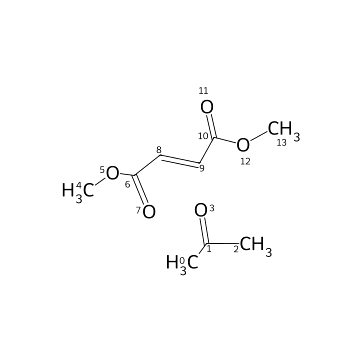 CC(C)=O.COC(=O)C=CC(=O)OC